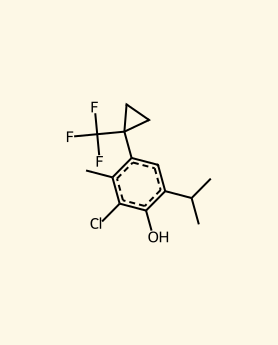 Cc1c(C2(C(F)(F)F)CC2)cc(C(C)C)c(O)c1Cl